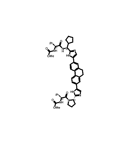 COC(=O)N[C@H](C(=O)N[C@H](c1ncc(-c2ccc3c(c2)CCc2cc(-c4cnc([C@@H]5CCCN5C(=O)[C@@H](NC(=O)OC)C(C)C)[nH]4)ccc2-3)[nH]1)C1CCCC1)C(C)C